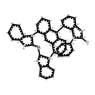 CCc1nc2ccccc2n1-c1cccc2c(-c3cccc4nc(CC)n(-c5ccccc5)c34)c3cccc(-n4c(CC)nc5ccccc54)c3cc12